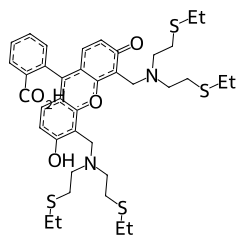 CCSCCN(CCSCC)Cc1c2oc3c(CN(CCSCC)CCSCC)c(O)ccc3c(-c3ccccc3C(=O)O)c-2ccc1=O